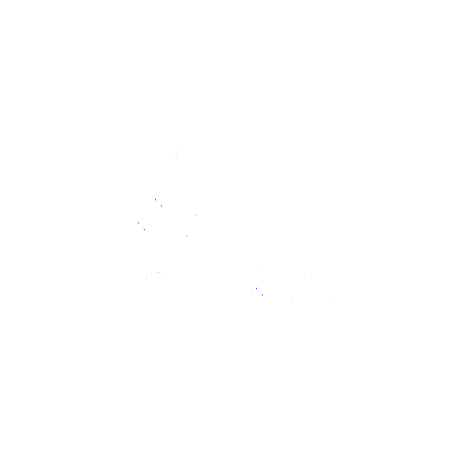 Cn1nc(C(F)(F)F)c(CSC2CC(C)(C)ON2)c1OC(F)F